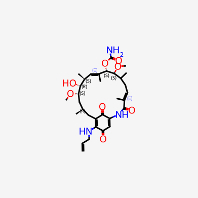 C=CCNC1=C2C[C@@H](C)C[C@H](OC)[C@H](O)[C@@H](C)/C=C(\C)[C@H](OC(N)=O)[C@@H](OC)C(C)C/C=C(\C)C(=O)NC(=CC1=O)C2=O